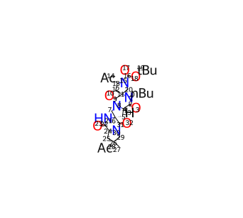 CCCCN1C(=O)[C@@H]2C[C@@]3(CN2C(=O)[C@@]12C[C@@H](C(C)=O)N(C(=O)OC(C)(C)C)C2)NC(=O)C1C[C@@](C)(C(C)=O)CN1C3=O